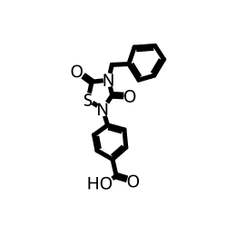 O=C(O)c1ccc(-n2sc(=O)n(Cc3ccccc3)c2=O)cc1